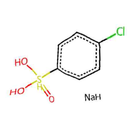 O=[SH](O)(O)c1ccc(Cl)cc1.[NaH]